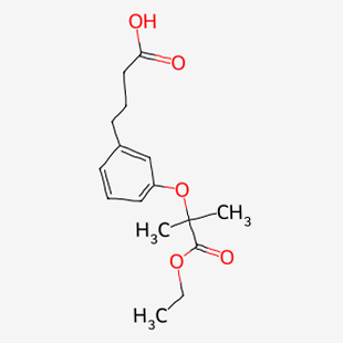 CCOC(=O)C(C)(C)Oc1cccc(CCCC(=O)O)c1